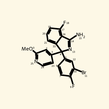 COc1cc(C2(c3ccc(F)c(Br)c3)N=C(N)c3c(F)cccc32)ccn1